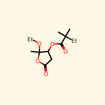 CCOC1(C)OC(=O)CC1OC(=O)C(C)(C)CC